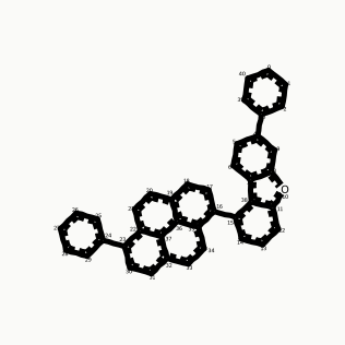 c1ccc(-c2ccc3c(c2)oc2cccc(-c4ccc5ccc6c(-c7ccccc7)ccc7ccc4c5c76)c23)cc1